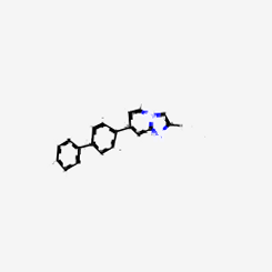 O=C(O)c1cn2ccc(-c3ccc(-c4ccccc4)cc3)cc2n1